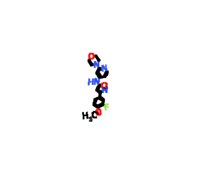 COc1ccc(-c2cc(Nc3ccnc(N4CCOCC4)c3)on2)cc1F